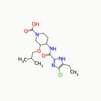 CCc1[nH]c(C(=O)NC2CCN(C(=O)O)CC2OCC(C)C)nc1Cl